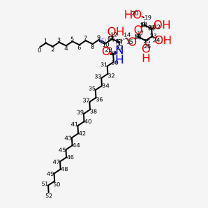 CCCCCCCCC/C=C/[C@@H](O)[C@H](CO[C@@H]1O[C@H](CO)[C@@H](O)C(O)C1O)NC(=O)CCCCCCCCCCCCCCCCCCCCCCC